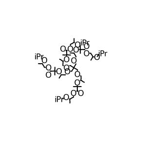 CC(C)OC(C)COC(=O)C(C)(C)OC(C)COCC(COCC(C)OC(C)(C)C(=O)OCC(C)OC(C)C)(COCC(C)OC(C)(C)C(=O)OCC(C)OC(C)C)COCC(C)OC(C)(C)C(=O)OCC(C)OC(C)C